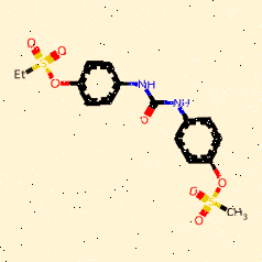 CCS(=O)(=O)Oc1ccc(NC(=O)Nc2ccc(OS(C)(=O)=O)cc2)cc1